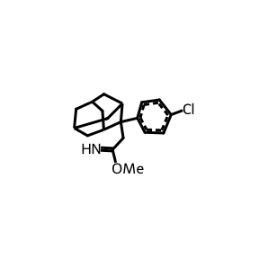 COC(=N)CC1(c2ccc(Cl)cc2)C2CC3CC(C2)CC1C3